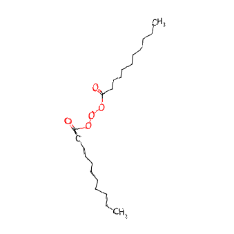 CCCCCCCCCCC(=O)OOOC(=O)CCCCCCCCCC